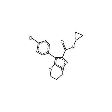 O=C(NC1CC1)c1nn2c(c1-c1ccc(Cl)cc1)OCCC2